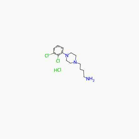 Cl.NCCCCN1CCN(c2cccc(Cl)c2Cl)CC1